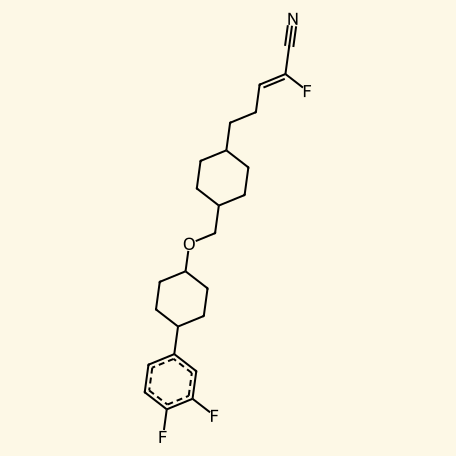 N#CC(F)=CCCC1CCC(COC2CCC(c3ccc(F)c(F)c3)CC2)CC1